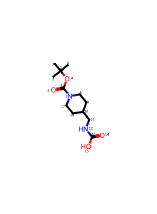 CC(C)(C)OC(=O)N1CCC(CNC(=O)O)CC1